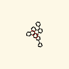 c1ccc(-c2ccc(N(c3ccc4ccccc4c3)c3cccc(-c4ccccc4)c3-c3ccccc3-c3ccccc3)cc2)cc1